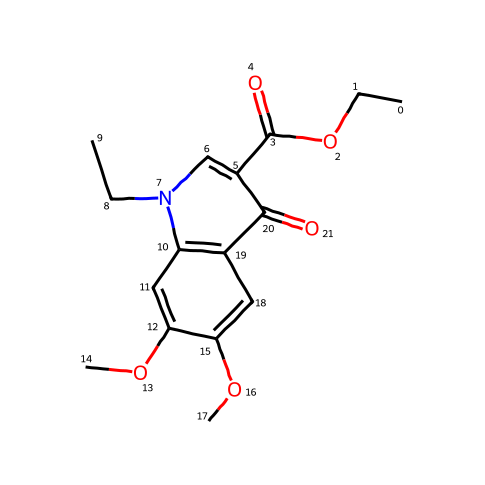 CCOC(=O)c1cn(CC)c2cc(OC)c(OC)cc2c1=O